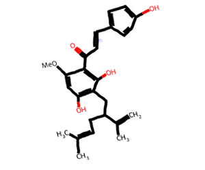 C=C(C)C(CC=C(C)C)Cc1c(O)cc(OC)c(C(=O)/C=C/c2ccc(O)cc2)c1O